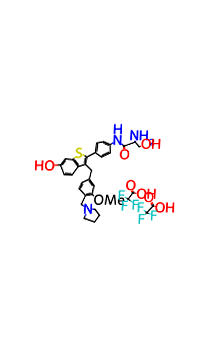 COc1cc(Cc2c(-c3ccc(NC(=O)[C@@H](N)CO)cc3)sc3cc(O)ccc23)ccc1CN1CCCC1.O=C(O)C(F)(F)F.O=C(O)C(F)(F)F